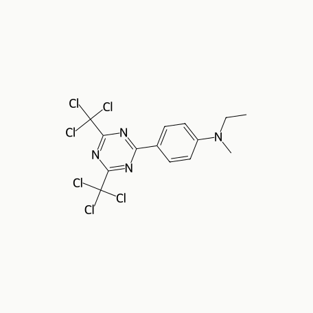 CCN(C)c1ccc(-c2nc(C(Cl)(Cl)Cl)nc(C(Cl)(Cl)Cl)n2)cc1